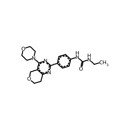 CCNC(=O)Nc1ccc(-c2nc3c(c(N4CCOCC4)n2)COCC3)cc1